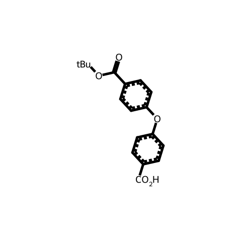 CC(C)(C)OC(=O)c1ccc(Oc2ccc(C(=O)O)cc2)cc1